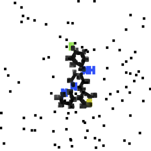 Fc1ccc(NC2CCN(c3ncccc3-c3ccsc3)CC2)cc1